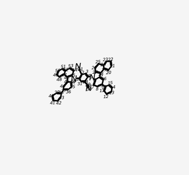 N#Cc1cc(-n2c3ccc(-c4ccccc4)cc3c3c4ccccc4ccc32)c(C#N)cc1-n1c2ccc(-c3ccccc3)cc2c2c3ccccc3ccc21